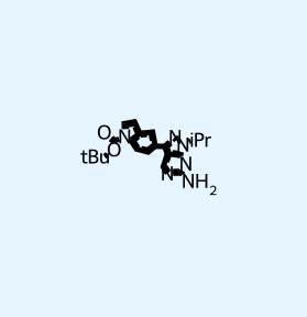 CC(C)n1nc(-c2ccc3c(ccn3C(=O)OC(C)(C)C)c2)c2cnc(N)nc21